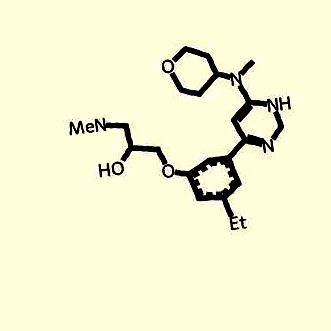 CCc1cc(OCC(O)CNC)cc(C2=NCNC(N(C)C3CCOCC3)=C2)c1